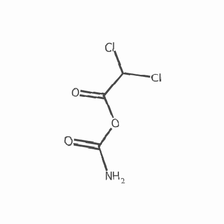 NC(=O)OC(=O)C(Cl)Cl